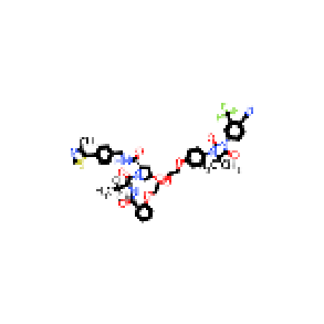 Cc1ncsc1-c1ccc(CNC(=O)[C@@H]2C[C@@H](O)CN2C(=O)[C@@H](NC(=O)c2ccccc2OCCOCCOc2ccc(N3C(=O)N(c4ccc(C#N)c(C(F)(F)F)c4)C(=O)C3(C)C)cc2)C(C)(C)C)cc1